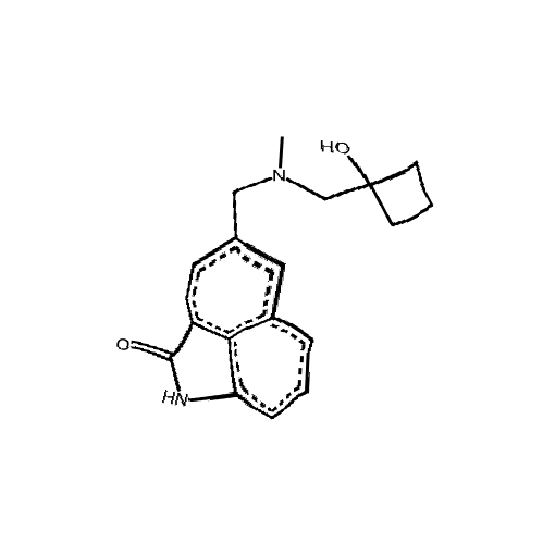 CN(Cc1cc2c3c(cccc3c1)NC2=O)CC1(O)CCC1